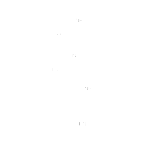 CNCCN[C@H](CS)CNCC(=O)NC